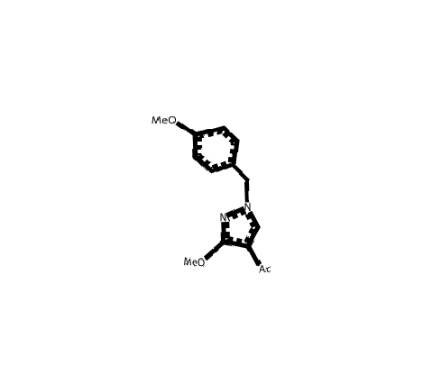 [CH2]C(=O)c1cn(Cc2ccc(OC)cc2)nc1OC